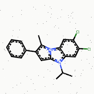 Cc1c(-c2ccccc2)cc2n(C(C)C)c3cc(Cl)c(Cl)cc3n12